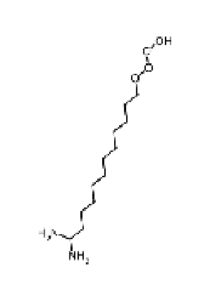 NC(N)CCCCCCCCCCCOOOO